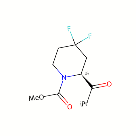 COC(=O)N1CCC(F)(F)C[C@H]1C(=O)C(C)C